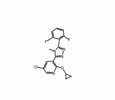 Cn1c(-c2cc(Cl)cnc2OC2CC2)nnc1-c1c(F)cccc1F